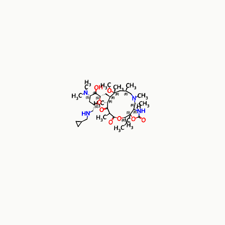 CC[C@H]1OC(=O)C(C)C(=O)[C@H](C)[C@@H](C[C@@H]2O[C@H](CNCC3CC3)C[C@H](N(C)C)[C@H]2O)[C@](C)(OC)C[C@@H](C)CN(C)[C@H](C)[C@H]2NC(=O)O[C@@]21C